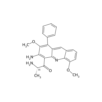 COc1c(N)c(C(=O)[C@H](C)N)c2nc3c(OC)cccc3cc2c1-c1ccccc1